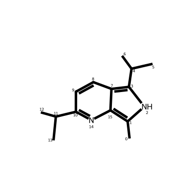 Cc1[nH]c(C(C)C)c2ccc(C(C)C)nc12